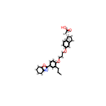 CCCc1cc(-c2nc3c(o2)CCCC3)ccc1OCCCOc1ccc2c(c1)CC[C@H]2CC(=O)O